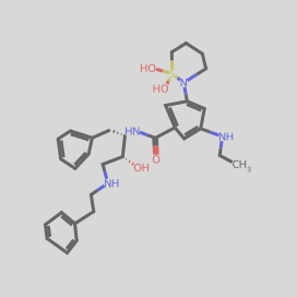 CCNc1cc(C(=O)N[C@@H](Cc2ccccc2)[C@H](O)CNCCc2ccccc2)cc(N2CCCCS2(O)O)c1